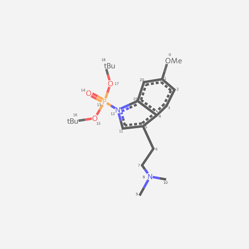 COc1ccc2c(CCN(C)C)cn(P(=O)(OC(C)(C)C)OC(C)(C)C)c2c1